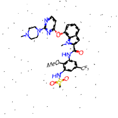 COc1c(NC(=O)c2cc3cccc(Oc4ccnc(N5CCN(C)CC5)n4)c3n2C)cc(C(F)(F)F)cc1NS(C)(=O)=O